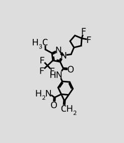 C=C1C2C=CC(NC(=O)c3c(C(F)(F)F)c(CC)nn3CC3CCC(F)(F)C3)=CC12C(N)=O